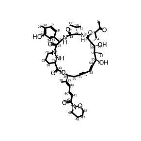 CC(=O)CC[C@H]1C(=O)N[C@@H](C(C)C)C(=O)NC(c2ccc(C)c(O)c2)C(=O)N2CCCC(N2)C(=O)O[C@H](/C(C)=C/C=C/C(=O)N2CCCCO2)C/C=C/C=C/[C@H](O)[C@H](C)[C@H]1O